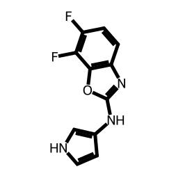 Fc1ccc2nc(Nc3cc[nH]c3)oc2c1F